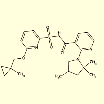 CC1CN(c2ncccc2C(=O)NS(=O)(=O)c2cccc(OCC3(C)CC3)n2)C(C)(C)C1